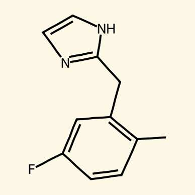 Cc1ccc(F)cc1Cc1ncc[nH]1